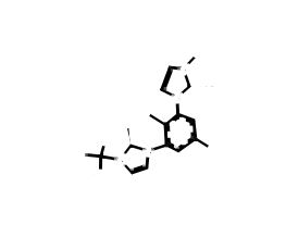 [2H]C([2H])([2H])N1C=CN(c2cc(C)cc(N3C=CN(C)[C@@H]3C)c2C)[C@@H]1C